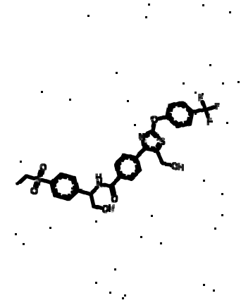 CCS(=O)(=O)c1ccc(C(CO)NC(=O)c2ccc(-c3nc(Oc4ccc(C(F)(F)F)cc4)sc3CO)cc2)cc1